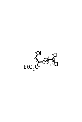 CCOC(=O)C(CO)C(=O)O.ClC(Cl)Cl